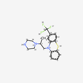 CC(CN1c2ccccc2Sc2ccc(C(F)(F)F)cc21)N1CC[N]CC1